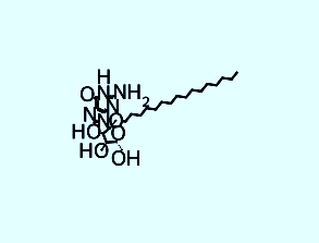 CCCCCCCCCCCCCCCCO[C@@]1(n2cnc3c(=O)[nH]c(N)nc32)O[C@H](CO)[C@@H](O)[C@H]1O